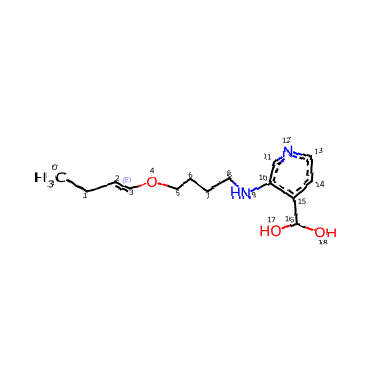 CC/C=C/OCCCCNc1cnccc1C(O)O